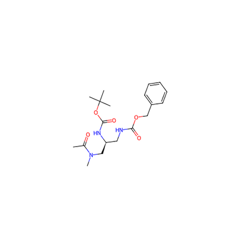 CC(=O)N(C)C[C@H](CNC(=O)OCc1ccccc1)NC(=O)OC(C)(C)C